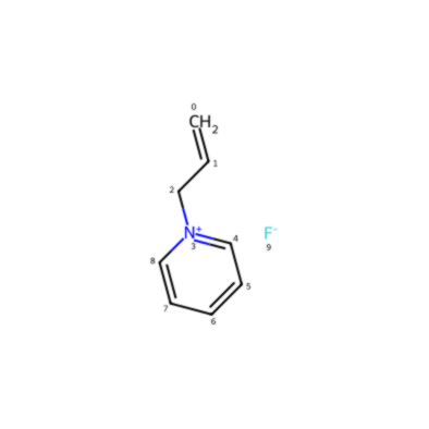 C=CC[n+]1ccccc1.[F-]